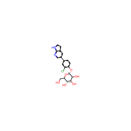 OCC1O[C@H](Oc2ccc(-c3cnc4[nH]ccc4c3)cc2Cl)C(O)[C@@H](O)[C@@H]1O